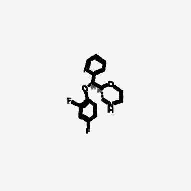 Fc1ccc(O[C@H](c2ccccn2)[C@H]2CNCCO2)c(F)c1